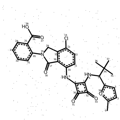 Cc1ccc(C(Nc2c(Nc3ccc(Cl)c4c3C(=O)N(c3ccccc3C(=O)O)C4)c(=O)c2=O)C(C)(C)C)o1